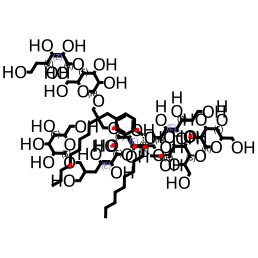 CCCCCCCCCC(CO[C@@H]1OC(CO)[C@@H](O[C@@H](O)/C(O)=C(/O)[C@H](O)CCO)C(O)C1O)(CO[C@H](O)/C(O)=C(\O)[C@@H](CCO)O[C@@H](O)/C(O)=C(\O)[C@H](O)CCO)Cc1ccc(C[C@@](CCCCCCCCC)(CO[C@@H]2OC(CO)[C@@H](O[C@H]3OC(CO)[C@@H](O)C(O)C3O)C(O)C2O)CO[C@H](O)/C(O)=C(\O)CC(CO)CO[C@H]2OC(CO)[C@@H](O)C(O)C2O)cc1